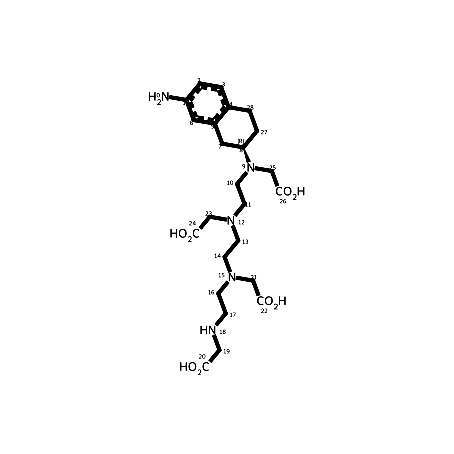 Nc1ccc2c(c1)C[C@H](N(CCN(CCN(CCNCC(=O)O)CC(=O)O)CC(=O)O)CC(=O)O)CC2